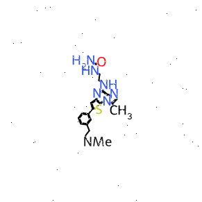 CNCCc1cccc(-c2cc3nc(NCCNC(N)=O)c4ncc(C)n4c3s2)c1